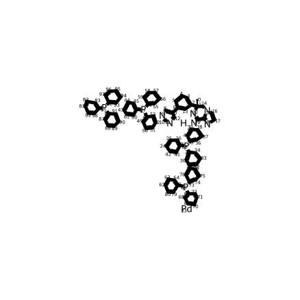 C[C@@]1(c2cccc(-c3cncnc3)c2)Cn2ccnc2C(N)=N1.[Pd].c1ccc(P(c2ccccc2)c2ccccc2)cc1.c1ccc(P(c2ccccc2)c2ccccc2)cc1.c1ccc(P(c2ccccc2)c2ccccc2)cc1.c1ccc(P(c2ccccc2)c2ccccc2)cc1